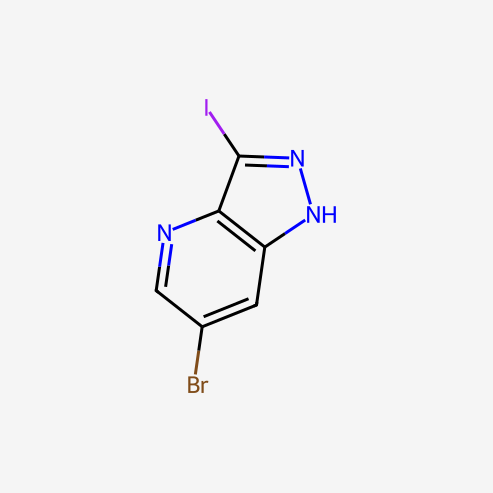 Brc1cnc2c(I)n[nH]c2c1